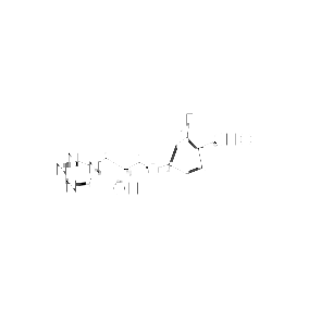 O=Cc1ccc(OC[C@H](O)Cn2cnnn2)cc1F